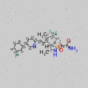 C[C@H]1NS(=O)(=O)[C@]2(CCC(N)=O)CC(F)(F)[C@@H](C)[C@H](/C=C/c3ccc(-c4cccc(F)c4)cn3)[C@H]12